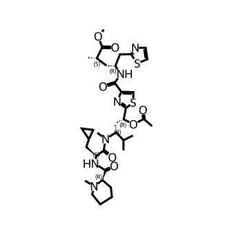 COC(=O)[C@@H](C)C[C@H](Cc1nccs1)NC(=O)c1csc([C@@H](C[C@H](C(C)C)N(C)C(=O)[C@H](CC2CC2)NC(=O)[C@H]2CCCCN2C)OC(C)=O)n1